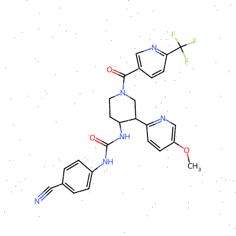 COc1ccc(C2CN(C(=O)c3ccc(C(F)(F)F)nc3)CCC2NC(=O)Nc2ccc(C#N)cc2)nc1